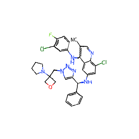 N#Cc1cnc2c(Cl)cc(N[C@@H](c3ccccc3)c3cn(CC4(N5CCCC5)COC4)nn3)cc2c1Nc1ccc(F)c(Cl)c1